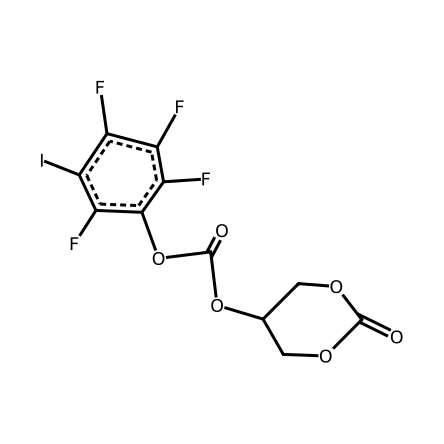 O=C1OCC(OC(=O)Oc2c(F)c(F)c(F)c(I)c2F)CO1